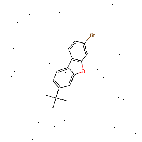 CC(C)(C)c1ccc2c(c1)oc1cc(Br)ccc12